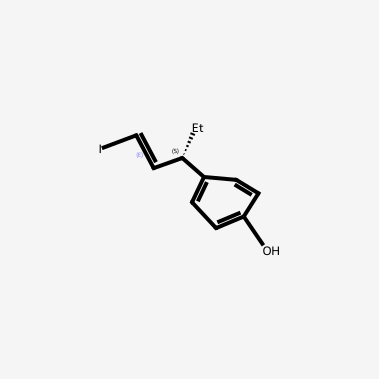 CC[C@@H](/C=C/I)c1ccc(O)cc1